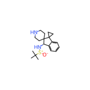 CC(C)(C)[S@@+]([O-])N[C@@H]1c2ccccc2C2(CC2)C12CCNCC2